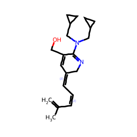 C=C(C)/C=C\C=C1\C=C(CO)C(N(CC2CC2)CC2CC2)=NC1